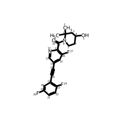 CC1(C)CC(O)CCN1C(=O)c1ncc(C#Cc2cc(F)ccc2F)cc1F